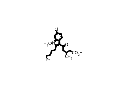 CC(C)CCCCc1c(C(=O)CC(C)CC(=O)O)c2ccc(Cl)cc2n1C